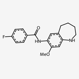 COc1cc2c(cc1NC(=O)c1ccc(F)cc1)CCCCN2